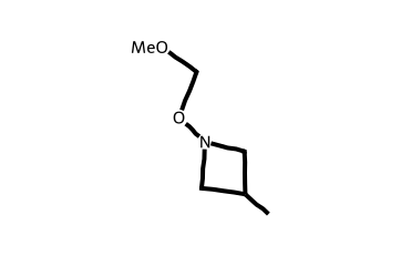 COCON1CC(C)C1